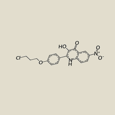 O=c1c(O)c(-c2ccc(OCCCCl)cc2)[nH]c2ccc([N+](=O)[O-])cc12